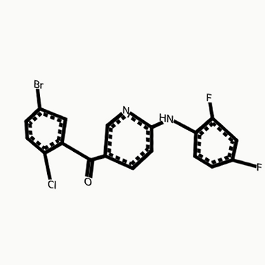 O=C(c1ccc(Nc2ccc(F)cc2F)nc1)c1cc(Br)ccc1Cl